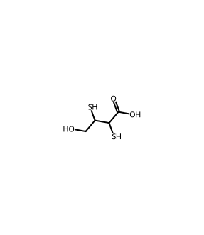 O=C(O)C(S)C(S)CO